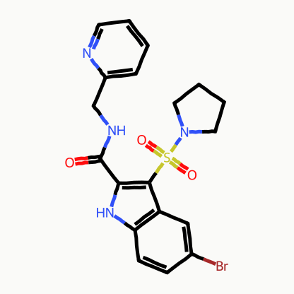 O=C(NCc1ccccn1)c1[nH]c2ccc(Br)cc2c1S(=O)(=O)N1CCCC1